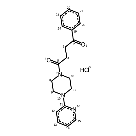 Cl.O=C(CCC(=O)N1CCN(c2ccccn2)CC1)c1ccccc1